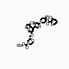 CC1(NC(=O)c2ncccc2Cl)CCN(c2cnc(-c3cc(OC[C@H]4CN(C(=O)OC(C)(C)C)CCO4)cn4ncc(C#N)c34)cn2)CC1